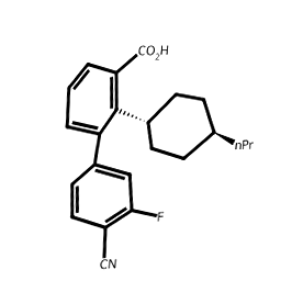 CCC[C@H]1CC[C@H](c2c(C(=O)O)cccc2-c2ccc(C#N)c(F)c2)CC1